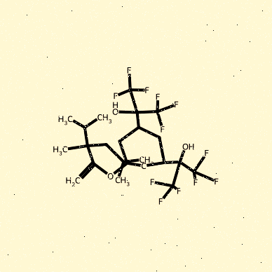 C=C(OC1CC(C(O)(C(F)(F)F)C(F)(F)F)CC(C(O)(C(F)(F)F)C(F)(F)F)C1)C(C)(CC(C)C)C(C)C